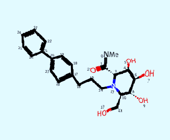 CNC(=O)[C@@H]1[C@@H](O)[C@@H](O)[C@H](O)[C@@H](CO)N1CCCc1ccc(-c2ccccc2)cc1